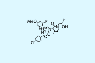 COc1cc(F)c([C@@H]2CN(c3c(C)ccn(CC(O)C4CC4)c3=O)C(=O)[C@H]2NC(=O)c2ccc(Cl)cc2)c(F)c1